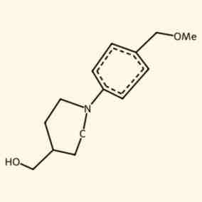 COCc1ccc(N2CCC(CO)CC2)cc1